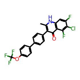 Cc1[nH]c2cc(F)c(Cl)c(F)c2c(=O)c1-c1ccc(-c2ccc(OC(F)(F)F)cc2)cc1